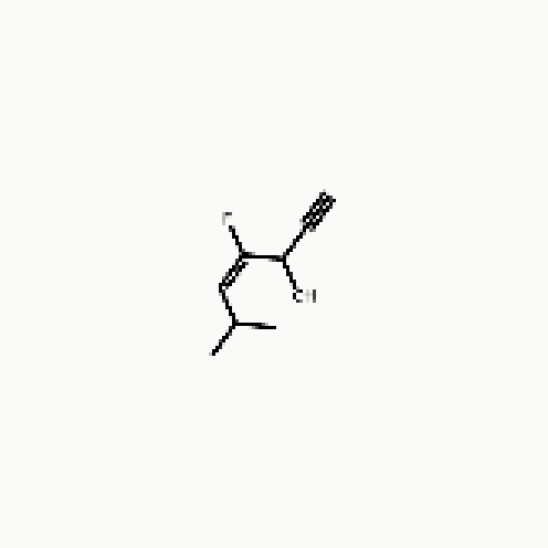 C#CC(O)/C(F)=C\C(C)C